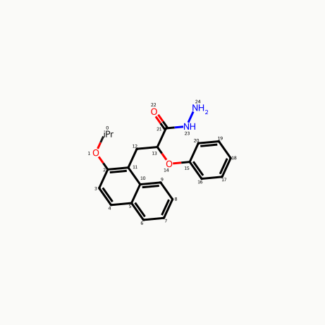 CC(C)Oc1ccc2ccccc2c1CC(Oc1ccccc1)C(=O)NN